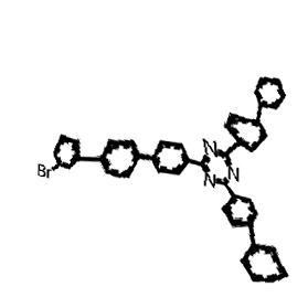 Brc1cccc(-c2ccc(-c3ccc(-c4nc(-c5ccc(-c6ccccc6)cc5)nc(-c5ccc(-c6ccccc6)cc5)n4)cc3)cc2)c1